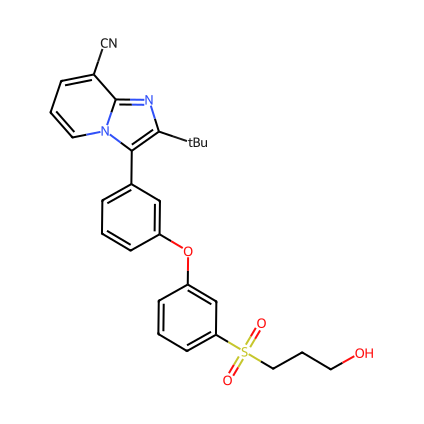 CC(C)(C)c1nc2c(C#N)cccn2c1-c1cccc(Oc2cccc(S(=O)(=O)CCCO)c2)c1